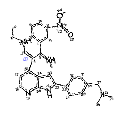 CCN/C=C(\C(=N)c1cccc([N+](=O)[O-])c1)c1ccnc2[nH]c(-c3ccc(CN(C)C)cc3)cc12